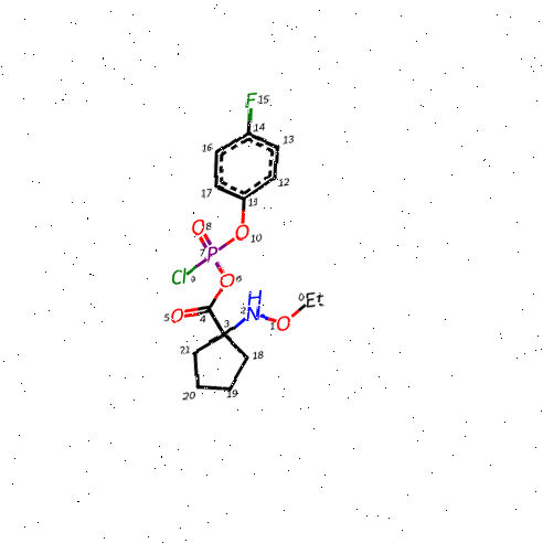 CCONC1(C(=O)OP(=O)(Cl)Oc2ccc(F)cc2)CCCC1